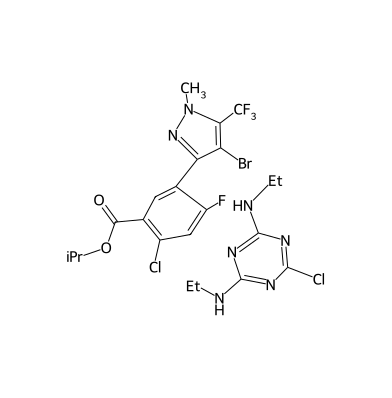 CC(C)OC(=O)c1cc(-c2nn(C)c(C(F)(F)F)c2Br)c(F)cc1Cl.CCNc1nc(Cl)nc(NCC)n1